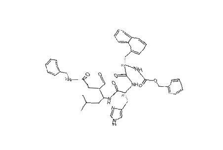 CC(C)CC(NC(=O)[C@@H](Cc1c[nH]cn1)NC(=O)[C@H](Cc1cccc2ccccc12)NC(=O)OCc1ccccc1)C(C=O)CC(=O)NCc1ccccc1